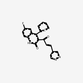 O=C(/C=C/c1ccnnc1)c1c(-c2ccccc2)c2cc(F)ccc2[nH]c1=O